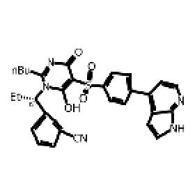 CCCCc1nc(=O)c(S(=O)(=O)c2ccc(-c3ccnc4[nH]ccc34)cc2)c(O)n1[C@@H](CC)c1cccc(C#N)c1